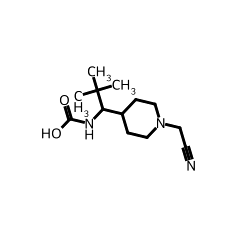 CC(C)(C)C(NC(=O)O)C1CCN(CC#N)CC1